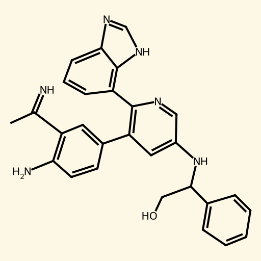 CC(=N)c1cc(-c2cc(NC(CO)c3ccccc3)cnc2-c2cccc3nc[nH]c23)ccc1N